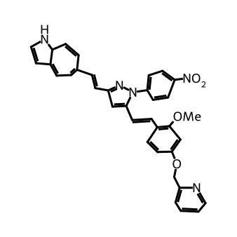 COc1cc(OCc2ccccn2)ccc1/C=C/c1cc(/C=C/C2=CC=C3C=CNC3C=C2)nn1-c1ccc([N+](=O)[O-])cc1